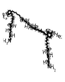 CCCCCCC1C=CC(CCCCCCCC(=O)NCCNCCNCCNC(=O)CCCCCCCC2C(CCCCCCCC(=O)NCCNCCNCCN)C=CC(CCCCCC)C2C)C(CCCCCCCC(=O)NCCNCCNCCN)C1C